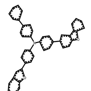 c1ccc(-c2ccc(N(c3ccc(-c4ccc5oc6ccccc6c5c4)cc3)c3ccc(-c4cc5ccccc5o4)cc3)cc2)cc1